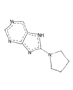 c1ncc2[nH]c(N3CCCC3)nc2n1